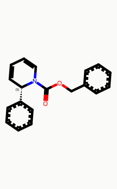 O=C(OCc1ccccc1)N1C=CC=C[C@H]1c1ccccc1